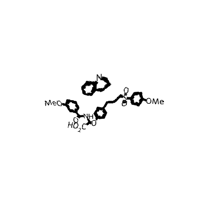 COc1ccc(S(=O)(=O)CCCc2ccc(OC(NC(=O)c3cccc(OC)c3)C(=O)O)cc2)cc1.c1ccc2ncccc2c1